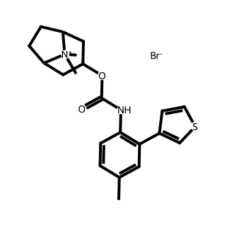 Cc1ccc(NC(=O)OC2CC3CCC(C2)[N+]3(C)C)c(-c2ccsc2)c1.[Br-]